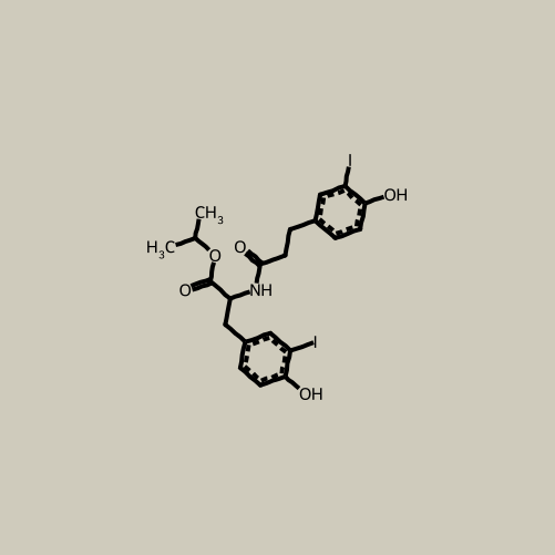 CC(C)OC(=O)C(Cc1ccc(O)c(I)c1)NC(=O)CCc1ccc(O)c(I)c1